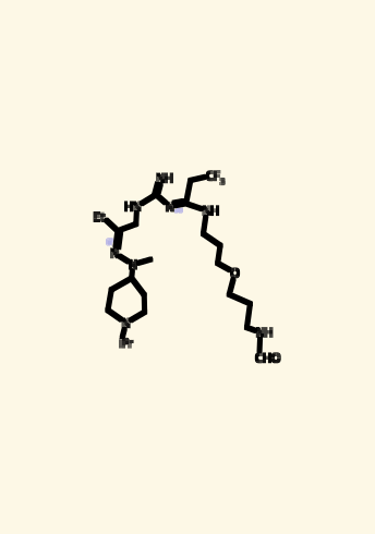 CC/C(CNC(=N)/N=C(\CC(F)(F)F)NCCCOCCCNC=O)=N/N(C)C1CCN(C(C)C)CC1